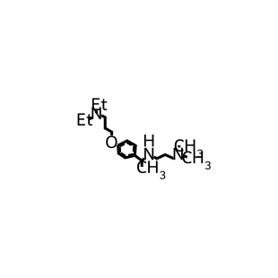 CCN(CC)CCCOc1ccc(C(C)NCCCN(C)C)cc1